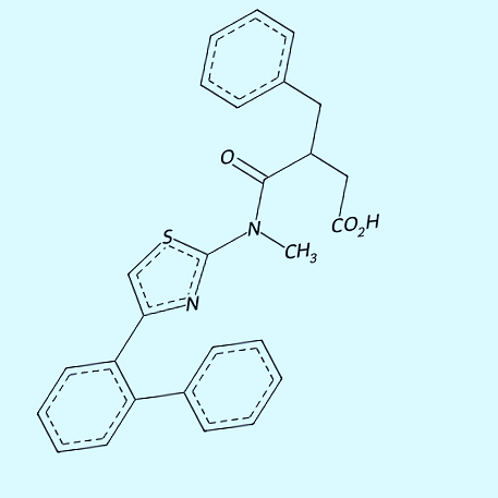 CN(C(=O)C(CC(=O)O)Cc1ccccc1)c1nc(-c2ccccc2-c2ccccc2)cs1